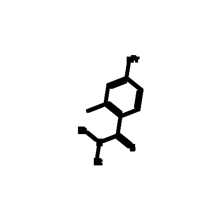 CCCc1ccc(C(=S)N(CC)CC)c(C)c1